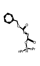 CCC[SiH](CCC)OC(=O)N=NC(=O)OCc1ccccc1